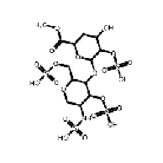 COC(=O)C1CC(O)C(OS(=O)(=O)O)C(OC2C(COS(=O)(=O)O)OCC(NS(=O)(=O)O)C2OS(=O)(=O)O)O1